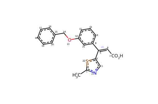 Cc1ncc(/C(=C\C(=O)O)c2cccc(OCc3ccccc3)c2)s1